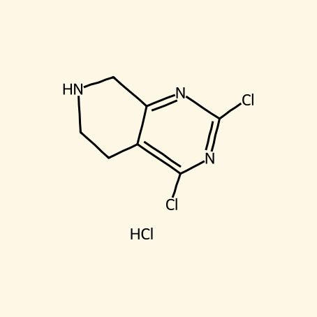 Cl.Clc1nc(Cl)c2c(n1)CNCC2